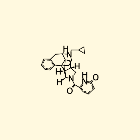 O=C(c1cccc(=O)[nH]1)N1C[C@H]2C[C@@]34CC[C@@H]1[C@@H]2[C@@]31CCN(CC2CC2)[C@@H]4Cc2ccccc21